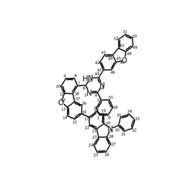 c1ccc(C2=NC(c3cccc4oc5ccc(-c6ccc7c(c6)c6ccccc6n7-c6ccccc6)cc5c34)NC(c3ccc4c(c3)oc3ccccc34)=N2)cc1